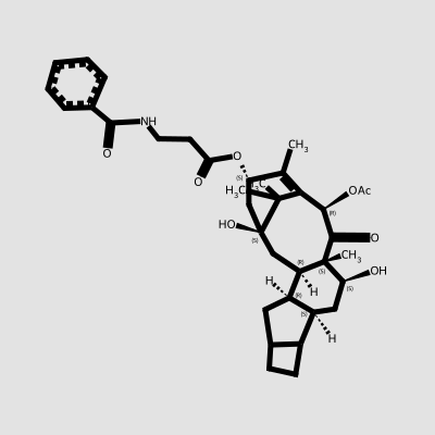 CC(=O)O[C@H]1C(=O)[C@@]2(C)[C@H](C[C@]3(O)C[C@H](OC(=O)CCNC(=O)c4ccccc4)C(C)=C1C3(C)C)[C@@H]1CC3CCC3[C@@H]1C[C@@H]2O